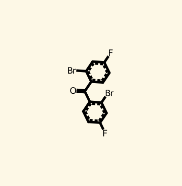 O=C(c1ccc(F)cc1Br)c1ccc(F)cc1Br